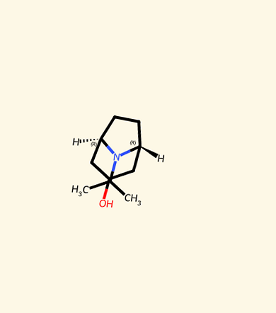 CC(C)N1[C@@H]2CC[C@@H]1CC(O)C2